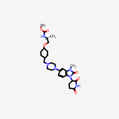 C[C@H](COC1CCC(CN2CCN(c3ccc4c(c3)n(C)c(=O)n4C3CCC(=O)NC3=O)CC2)CC1)NC(=O)OC(C)(C)C